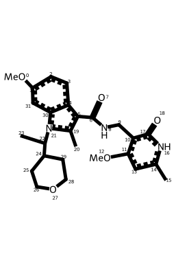 COc1ccc2c(C(=O)NCc3c(OC)cc(C)[nH]c3=O)c(C)n(C(C)C3CCOCC3)c2c1